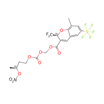 Cc1cc(S(F)(F)(F)(F)F)cc2c1O[C@H](C(F)(F)F)C(C(=O)OCOC(=O)OCC[C@H](C)O[N+](=O)[O-])=C2